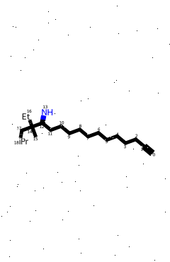 C#CCCCCCCCCCCC(=N)C(C)(CC)CC(C)C